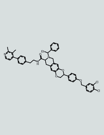 CCC(c1ccccc1)N1Cc2cc3c(cc2CC1C(=O)NCCc1ccc(-c2ccnc(C)c2C)cc1)OCC(c1ccc(OCc2ccc(Cl)c(Cl)c2)cc1)O3